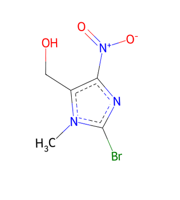 Cn1c(Br)nc([N+](=O)[O-])c1CO